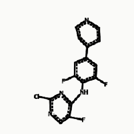 Fc1cnc(Cl)nc1Nc1c(F)cc(-c2ccncc2)cc1F